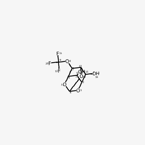 OC1C2OC3OC1C(OC(F)(F)F)C(O3)C2O